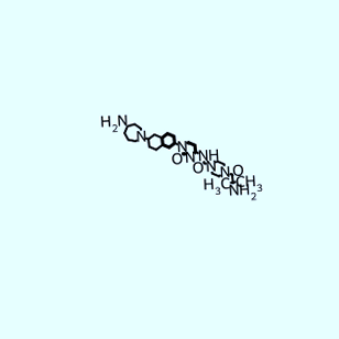 CC(C)(N)C(=O)N1CCN(C(=O)Nc2ccn(-c3ccc4c(c3)CCC(N3CCCC(N)CC3)C4)c(=O)n2)CC1